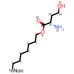 CCCCCCCCCCCCCCCCOC(=O)[C@@H](N)CCO